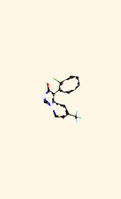 O=c1ncn2ccc(C(F)(F)F)cc2c1-c1ccccc1Cl